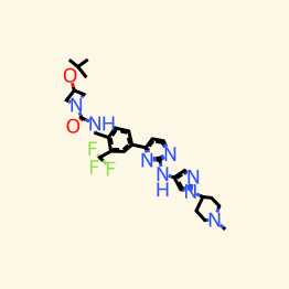 CN1CCC(n2cc(Nc3nccc(-c4ccc(CNC(=O)N5CC(OC(C)(C)C)C5)c(C(F)(F)F)c4)n3)cn2)CC1